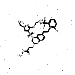 CCOc1nn(CC)cc1S(=O)(=O)N1C[C@H](CCC(=O)OC)Oc2ccc(/C=C/c3c(Cl)cccc3C(F)(F)F)cc21